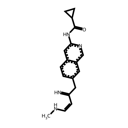 CN/C=C\C(=N)Cc1ccc2cc(NC(=O)C3CC3)ncc2c1